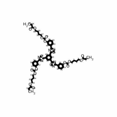 C=CC(=O)OCCCCOC(=O)Oc1cccc(-c2noc(-c3cc(-c4nc(-c5cccc(OC(=O)OCCCCOC(=O)C=C)c5)no4)cc(-c4nc(-c5cccc(OC(=O)OCCCCOC(=O)C=C)c5)no4)c3)n2)c1